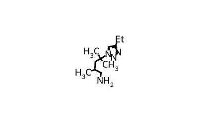 CCc1cn(C(C)(C)CC(C)CN)nn1